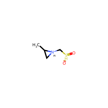 CC1C[N@]1C[SH](=O)=O